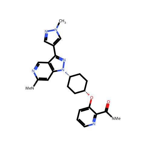 CNC(=O)c1ncccc1O[C@H]1CC[C@@H](n2nc(-c3cnn(C)c3)c3cnc(NC)cc32)CC1